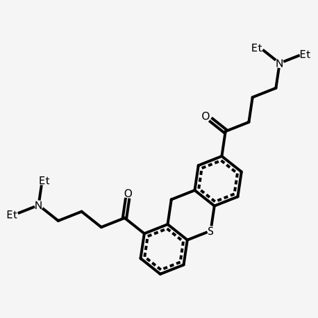 CCN(CC)CCCC(=O)c1ccc2c(c1)Cc1c(cccc1C(=O)CCCN(CC)CC)S2